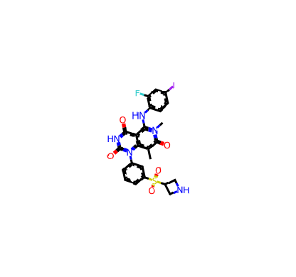 Cc1c(=O)n(C)c(Nc2ccc(I)cc2F)c2c(=O)[nH]c(=O)n(-c3cccc(S(=O)(=O)C4CNC4)c3)c12